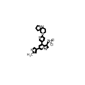 ClOCl.Cn1cc(-c2cc(-c3ccc(N4CCCC5(CCCN5)C4)nc3)c3c(C#N)cnn3c2)cn1